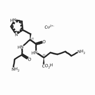 NCCCC[C@H](NC(=O)[C@H](Cc1c[nH]cn1)NC(=O)CN)C(=O)O.[Cu+2]